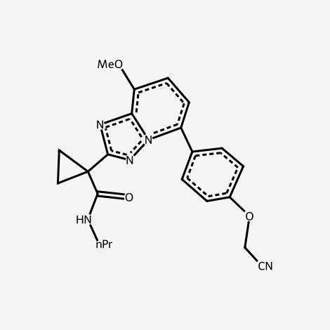 CCCNC(=O)C1(c2nc3c(OC)ccc(-c4ccc(OCC#N)cc4)n3n2)CC1